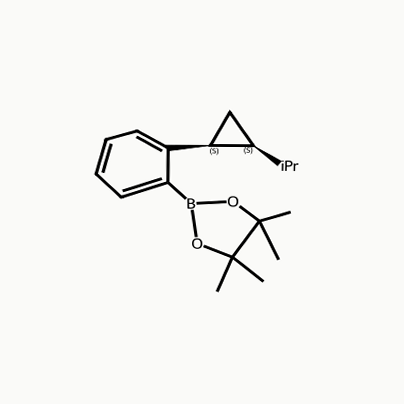 CC(C)[C@@H]1C[C@@H]1c1ccccc1B1OC(C)(C)C(C)(C)O1